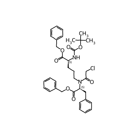 CC(C)(C)OC(=O)N[C@@H](CCCN(C(=O)CCl)[C@@H](Cc1ccccc1)C(=O)OCc1ccccc1)C(=O)OCc1ccccc1